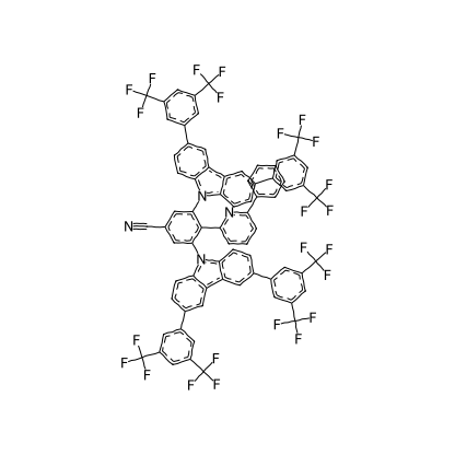 N#Cc1cc(-n2c3ccc(-c4cc(C(F)(F)F)cc(C(F)(F)F)c4)cc3c3cc(-c4cc(C(F)(F)F)cc(C(F)(F)F)c4)ccc32)c(-c2cccc(-c3ccccc3)n2)c(-n2c3ccc(-c4cc(C(F)(F)F)cc(C(F)(F)F)c4)cc3c3cc(-c4cc(C(F)(F)F)cc(C(F)(F)F)c4)ccc32)c1